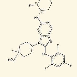 CCOC(=O)C1(C)CCC(n2c(Nc3c(F)cc(F)cc3Cl)nc3cnc(N[C@H]4CCOC[C@H]4F)nc32)CC1